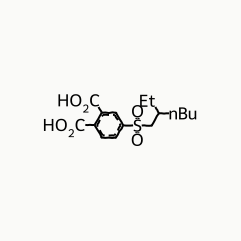 CCCCC(CC)CS(=O)(=O)c1ccc(C(=O)O)c(C(=O)O)c1